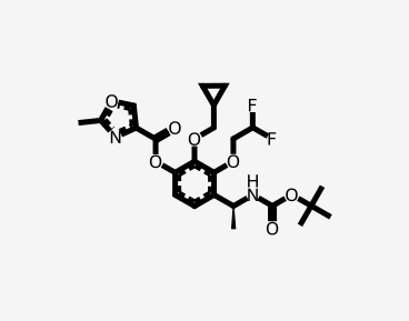 Cc1nc(C(=O)Oc2ccc([C@H](C)NC(=O)OC(C)(C)C)c(OCC(F)F)c2OCC2CC2)co1